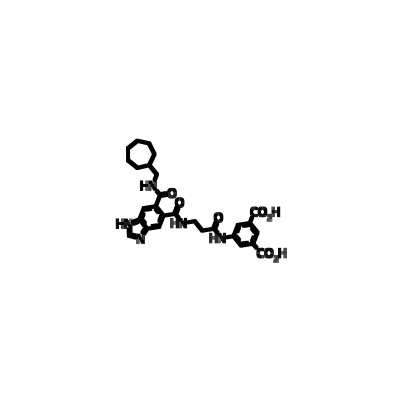 O=C(CCNC(=O)c1cc2nc[nH]c2cc1C(=O)NCC1CCCCCC1)Nc1cc(C(=O)O)cc(C(=O)O)c1